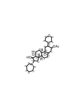 CC(=O)OC1CC2CC[C@@H]3[C@@H](CC[C@]4(C)C(O)C(N5CCCCCC5)C[C@@H]34)[C@@]2(C)CC1N1CCOCC1